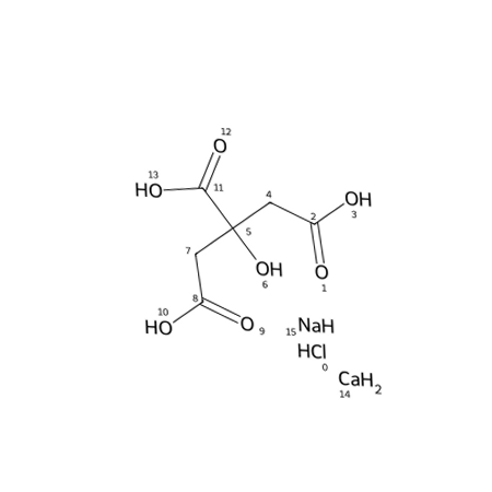 Cl.O=C(O)CC(O)(CC(=O)O)C(=O)O.[CaH2].[NaH]